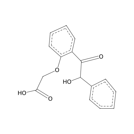 O=C(O)COc1ccccc1C(=O)C(O)c1ccccc1